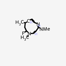 CNC1=N/C=C/CC(C)CC(F)N(C)/C=C\1